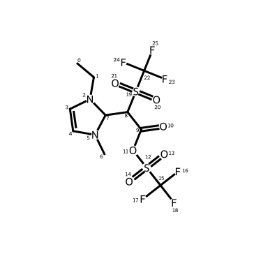 CCN1C=CN(C)C1C(C(=O)OS(=O)(=O)C(F)(F)F)S(=O)(=O)C(F)(F)F